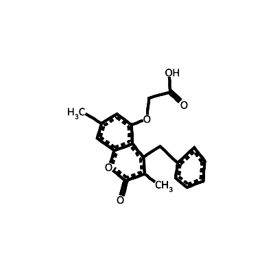 Cc1cc(OCC(=O)O)c2c(Cc3ccccc3)c(C)c(=O)oc2c1